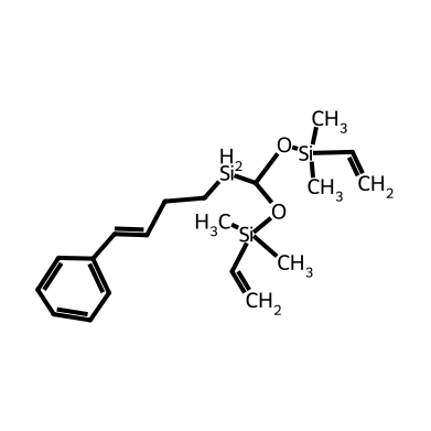 C=C[Si](C)(C)OC(O[Si](C)(C)C=C)[SiH2]CCC=Cc1ccccc1